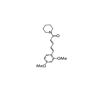 COc1ccc(/C=C/C=C/C(=O)N2CCCCC2)c(OC)c1